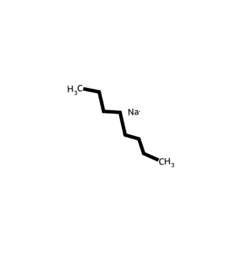 CCCCCCCC.[Na]